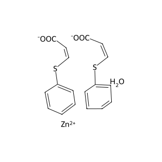 O.O=C([O-])/C=C\Sc1ccccc1.O=C([O-])/C=C\Sc1ccccc1.[Zn+2]